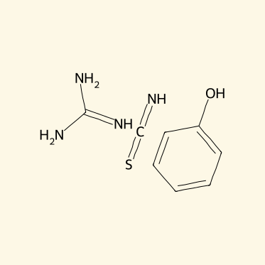 N=C(N)N.N=C=S.Oc1ccccc1